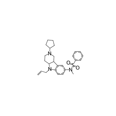 C=CCN1c2ccc(N(C)S(=O)(=O)c3ccccc3)cc2C2CN(C3CCCC3)CCC21